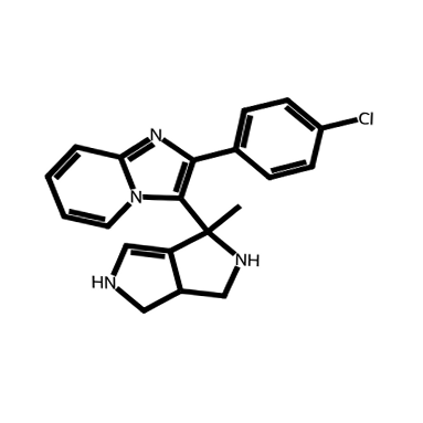 CC1(c2c(-c3ccc(Cl)cc3)nc3ccccn23)NCC2CNC=C21